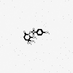 Cc1ccc(S(=O)(=O)ON2C(=O)CCC(C)(C)C2C)cc1